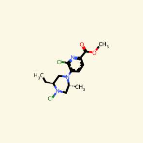 CC[C@H]1CN(c2ccc(C(=O)OC)nc2Cl)[C@H](C)CN1Cl